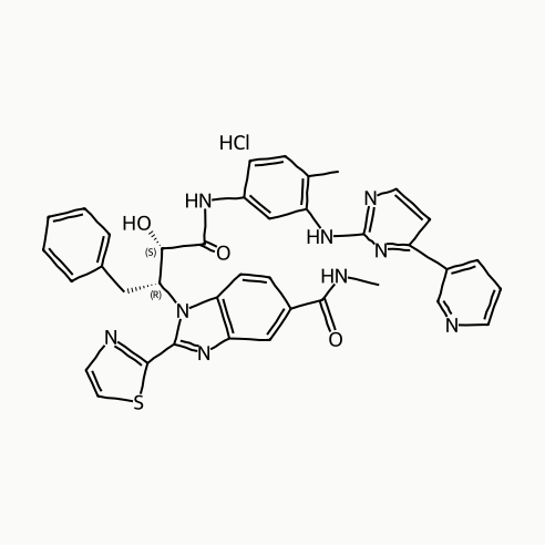 CNC(=O)c1ccc2c(c1)nc(-c1nccs1)n2[C@H](Cc1ccccc1)[C@H](O)C(=O)Nc1ccc(C)c(Nc2nccc(-c3cccnc3)n2)c1.Cl